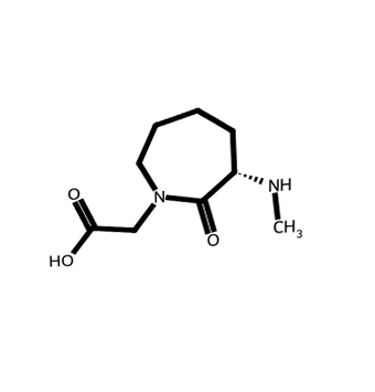 CN[C@H]1CCCCN(CC(=O)O)C1=O